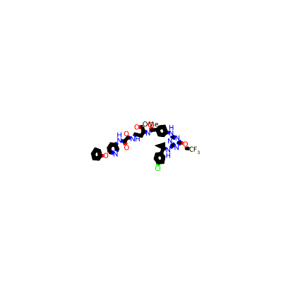 COC(=O)/C(CCNC(=O)C(=O)Nc1ccc(Oc2ccccc2)nc1)=N\C(=O)c1ccc(Nc2nc(NC3(c4ccc(Cl)cc4)CC3)nc(OCC(F)(F)F)n2)cc1